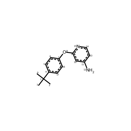 CC(C)(C)c1ccc(Oc2cc(N)ccn2)cc1